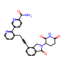 NC(=O)c1ccc(-c2ncccc2CC#Cc2cccc3c2CN(C2CCC(=O)NC2=O)C3=O)cn1